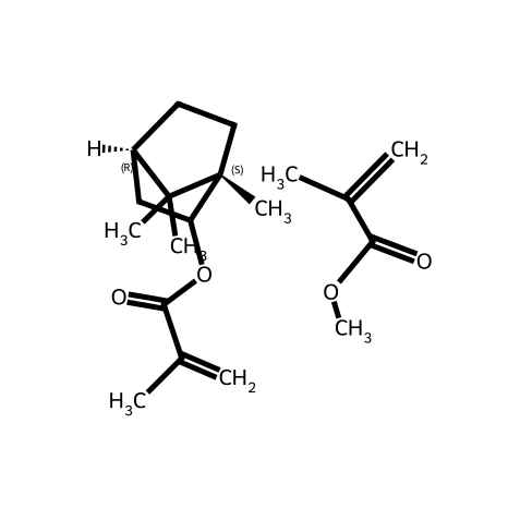 C=C(C)C(=O)OC.C=C(C)C(=O)OC1C[C@H]2CC[C@@]1(C)C2(C)C